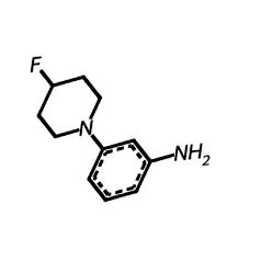 Nc1cccc(N2CCC(F)CC2)c1